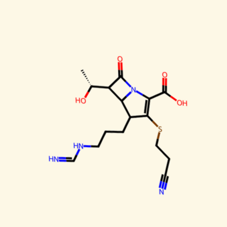 C[C@@H](O)C1C(=O)N2C(C(=O)O)=C(SCCC#N)C(CCCNC=N)C12